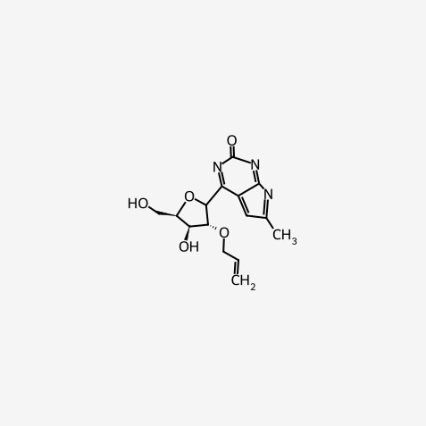 C=CCO[C@H]1C(C2=NC(=O)N=C3N=C(C)C=C32)O[C@H](CO)[C@@H]1O